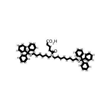 O=C(O)CCCC(=O)N(CCCCCCCCSC(c1ccccc1)(c1ccccc1)c1ccccc1)CCCCCCSC(c1ccccc1)(c1ccccc1)c1ccccc1